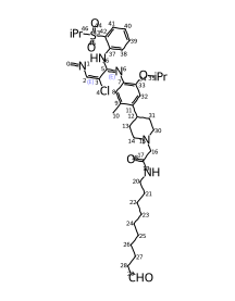 C=N/C=C(Cl)\C(=N/c1cc(C)c(C2CCN(CC(=O)NCCCCCCCCCC=O)CC2)cc1OC(C)C)Nc1ccccc1S(=O)(=O)C(C)C